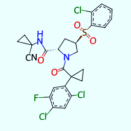 N#CC1(NC(=O)[C@@H]2C[C@@H](S(=O)(=O)c3ccccc3Cl)CN2C(=O)C2(c3cc(F)c(Cl)cc3Cl)CC2)CC1